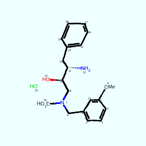 COc1cccc(CN(C[C@@H](O)[C@@H](N)Cc2ccccc2)C(=O)O)c1.Cl